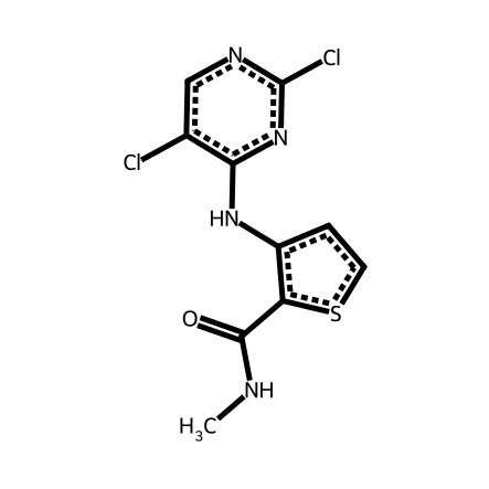 CNC(=O)c1sccc1Nc1nc(Cl)ncc1Cl